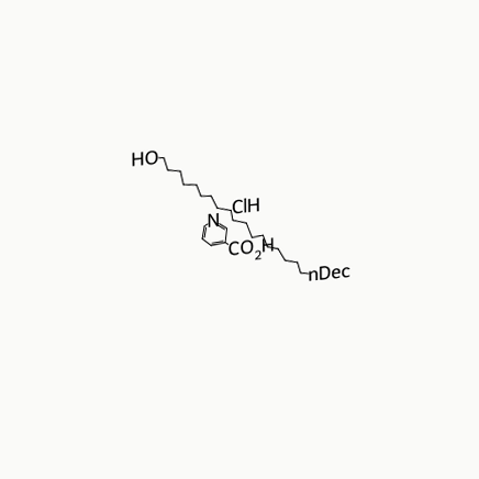 CCCCCCCCCCCCCCCCCCCCCCCCCCCCO.Cl.O=C(O)c1cccnc1